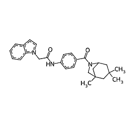 CC1(C)CC2CC(C)(CN2C(=O)c2ccc(NC(=O)Cn3ccc4ccccc43)cc2)C1